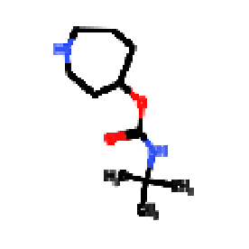 CC(C)(C)NC(=O)OC1CCCNCC1